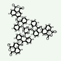 O=C1OC(=O)c2ccc(N=c3c4ccccc4n(-c4nc(-n5c6ccccc6c(=Nc6ccc7c8c(cccc68)C(=O)OC7=O)c6ccccc65)nc(-n5c6ccccc6c(=Nc6ccc7c8c(cccc68)C(=O)OC7=O)c6ccccc65)n4)c4ccccc34)c3cccc1c23